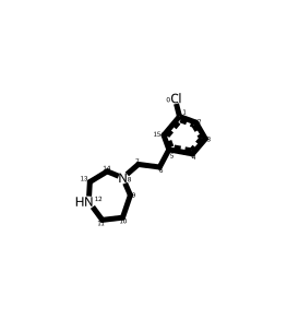 Clc1cccc(CCN2CCCNCC2)c1